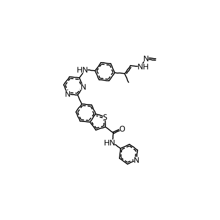 C=NN/C=C(\C)c1ccc(Nc2ccnc(-c3ccc4cc(C(=O)Nc5ccncc5)sc4c3)n2)cc1